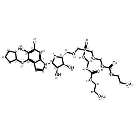 CC(=O)OCCOC(=O)OCOCP(=O)(COC[C@H]1O[C@@H](n2ccc3c(NC4CCCC4)c(C#N)c(Cl)nc32)[C@H](O)[C@@H]1O)OCOC(=O)OCCOC(C)=O